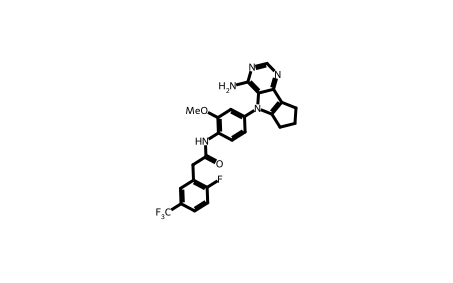 COc1cc(-n2c3c(c4ncnc(N)c42)CCC3)ccc1NC(=O)Cc1cc(C(F)(F)F)ccc1F